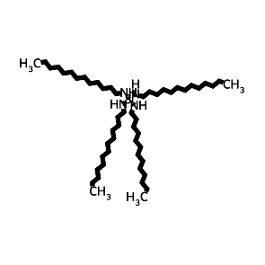 CCCCCCCCCCCCCN[Si](NCCCCCCCCCCCCC)(NCCCCCCCCCCCCC)NCCCCCCCCCCCCC